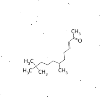 CC(=O)C=CCCC(C)CCCC(C)(C)C